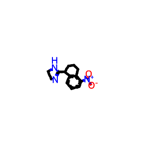 O=[N+]([O-])c1cccc2c1CCCC2C1=NCCN1